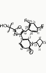 CC(C)(O)c1nc(-c2ccc(=O)n(C3CCC3)c2)c(-c2ccc(F)cc2F)o1